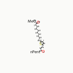 CCCCCC(=O)C=Cc1ccc(CCCCCCCCCC(=O)OC)s1